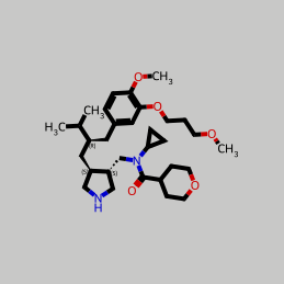 COCCCOc1cc(C[C@@H](C[C@@H]2CNC[C@H]2CN(C(=O)C2CCOCC2)C2CC2)C(C)C)ccc1OC